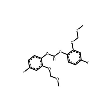 COCOc1cc(F)ccc1OBOc1ccc(F)cc1OCOC